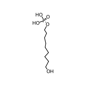 O=P(O)(O)OCCCCCCCCCO